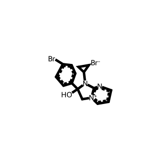 OC1(c2ccc(Br)cc2)C[n+]2cccnc2N1C1CC1.[Br-]